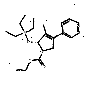 CCOC(=O)[C@@H]1CC(c2ccccc2)=C(C)[C@H]1O[Si](CC)(CC)CC